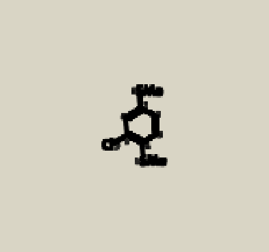 CSc1ccc(SC)c(Cl)c1